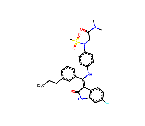 CN(C)C(=O)CN(c1ccc(NC(=C2C(=O)Nc3cc(F)ccc32)c2cccc(CCC(=O)O)c2)cc1)S(C)(=O)=O